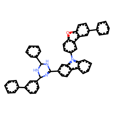 c1ccc(-c2cccc(C3N=C(c4ccc5c6ccccc6n(-c6ccc7oc8ccc(-c9ccccc9)cc8c7c6)c5c4)NC(c4ccccc4)N3)c2)cc1